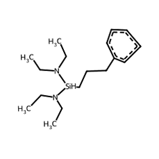 CCN(CC)[SiH](CCCc1ccccc1)N(CC)CC